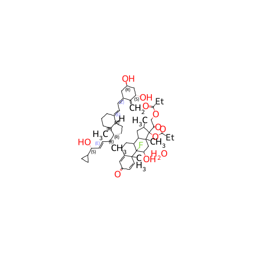 C=C1/C(=C\C=C2/CCC[C@]3(C)[C@@H]([C@H](C)/C=C/[C@@H](O)C4CC4)CC[C@@H]23)C[C@@H](O)C[C@@H]1O.CCC(=O)OCC(=O)C1(OC(=O)CC)C(C)CC2C3CCC4=CC(=O)C=CC4(C)C3(F)C(O)CC21C.O